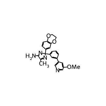 COc1cncc(-c2cccc(C3(c4ccc5c(c4)OCCO5)N=C(C)C(N)=N3)c2)c1